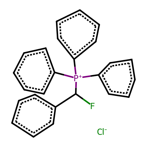 FC(c1ccccc1)[P+](c1ccccc1)(c1ccccc1)c1ccccc1.[Cl-]